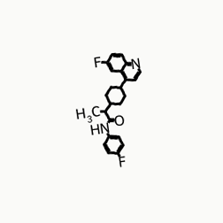 CC(C(=O)Nc1ccc(F)cc1)C1CCC(c2ccnc3ccc(F)cc23)CC1